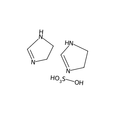 C1=NCCN1.C1=NCCN1.O=S(=O)(O)O